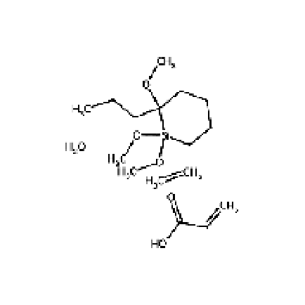 C=C.C=CC(=O)O.CCCC1(OC)CCCC[Si]1(OC)OC.O